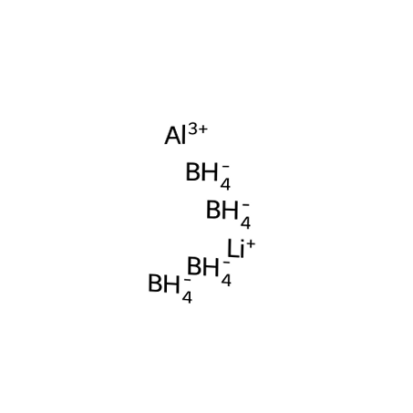 [Al+3].[BH4-].[BH4-].[BH4-].[BH4-].[Li+]